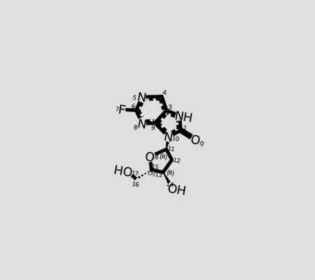 O=c1[nH]c2cnc(F)nc2n1[C@H]1C[C@@H](O)[C@H](CO)O1